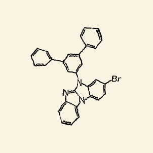 Brc1ccc2c(c1)n(-c1cc(-c3ccccc3)cc(-c3ccccc3)c1)c1nc3ccccc3n21